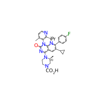 Cc1ccnc(C(C)C)c1-n1c(=O)nc(N2CCN(C(=O)O)C[C@@H]2C)c2cc(C3CC3)c(-c3ccc(F)cc3)nc21